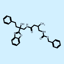 CC(CNC(=O)OCc1ccccc1)CC(=O)NCC(O)(CCc1ccccc1)c1nc2ccccc2o1